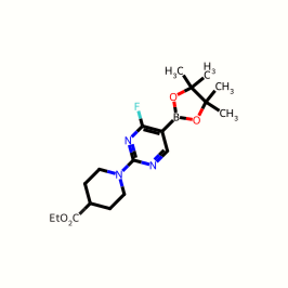 CCOC(=O)C1CCN(c2ncc(B3OC(C)(C)C(C)(C)O3)c(F)n2)CC1